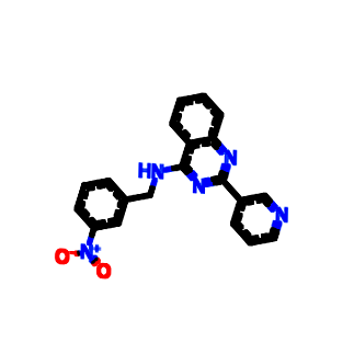 O=[N+]([O-])c1cccc(CNc2nc(-c3cccnc3)nc3ccccc23)c1